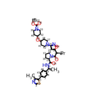 Cc1ncsc1-c1ccc(C(C)NC(=O)C2CCCN2C(=O)C(c2cc(N3CCC(OC4CCN(C(=O)OC(C)(C)C)CC4)CC3)no2)C(C)C)cc1